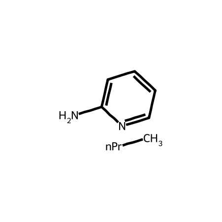 CCCC.Nc1ccccn1